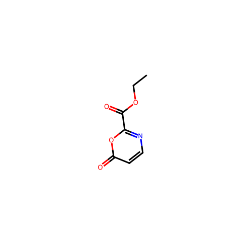 CCOC(=O)c1nccc(=O)o1